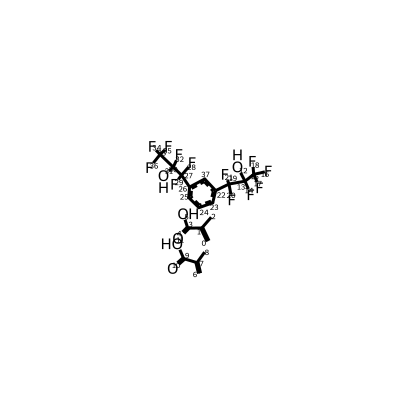 C=C(C)C(=O)O.C=C(C)C(=O)O.OC(F)(C(F)(F)F)C(F)(F)c1cccc(C(F)(F)C(O)(F)C(F)(F)F)c1